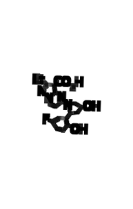 CCc1nn2ccc(N3CC(O)CC3c3cc(F)ccc3O)nc2c1C(=O)O